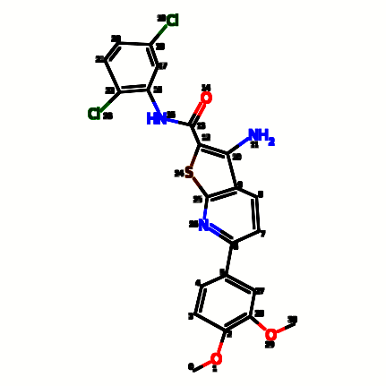 COc1ccc(-c2ccc3c(N)c(C(=O)Nc4cc(Cl)ccc4Cl)sc3n2)cc1OC